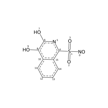 O=NS(=O)(=O)c1nc(O)c(O)c2ccccc12